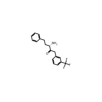 N[C@@H](CCc1ccccc1)C(=O)Cc1cccc(C(F)(F)F)c1